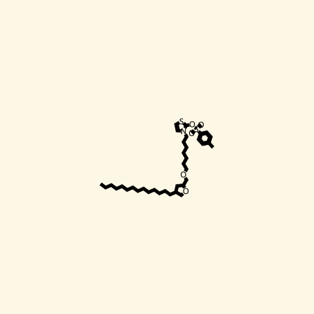 CCCCCCCCCCCCCCC1COC(COCCCCCCCN2C=CSC2OS(=O)(=O)c2ccc(C)cc2)C1